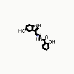 O=C(N/N=C/c1c[nH]c2ccc(O)cc12)c1ccccc1O